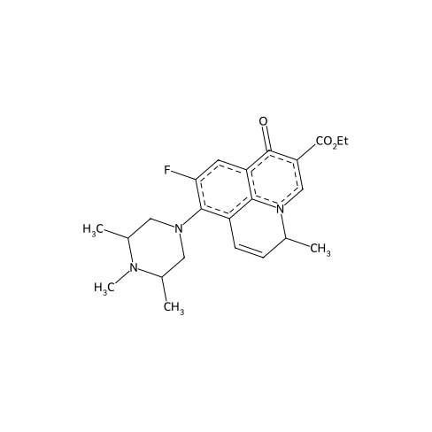 CCOC(=O)c1cn2c3c(c(N4CC(C)N(C)C(C)C4)c(F)cc3c1=O)C=CC2C